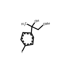 COCC(C)(O)c1ccc(I)cc1